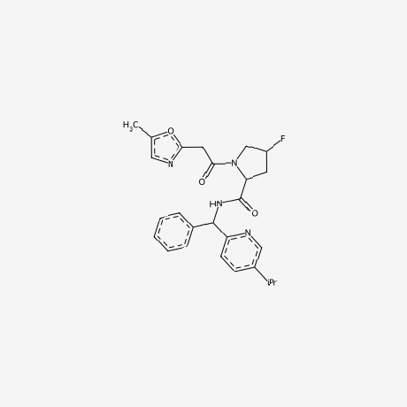 Cc1cnc(CC(=O)N2CC(F)CC2C(=O)NC(c2ccccc2)c2ccc(C(C)C)cn2)o1